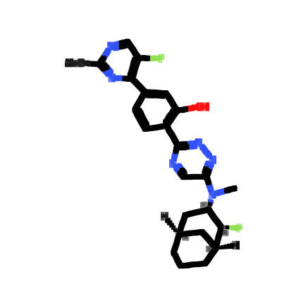 COc1ncc(F)c(-c2ccc(-c3ncc(N(C)[C@H]4C[C@@H]5CCC[C@@H](C5)[C@H]4F)nn3)c(O)c2)n1